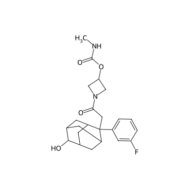 CNC(=O)OC1CN(C(=O)CC2(c3cccc(F)c3)C3CC4CC2CC(C3)C4O)C1